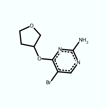 Nc1ncc(Br)c(OC2CCOC2)n1